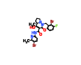 Cc1nc(NC(=O)C2=C(O)[C@@]3(C)CCCN3N(Cc3cccc(F)c3Br)C2=O)ccc1Br